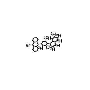 [2H]c1c([2H])c([2H])c2c(c1[2H])c([2H])c([2H])c1oc3c([2H])c(-c4c5ccccc5c(Br)c5ccccc45)cc([2H])c3c12